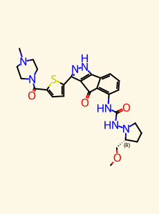 COC[C@H]1CCCN1NC(=O)Nc1cccc2c1C(=O)c1c(-c3ccc(C(=O)N4CCN(C)CC4)s3)n[nH]c1-2